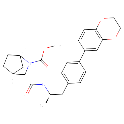 CC(C)(C)OC(=O)N1[C@@H]2CC[C@@H](C2)[C@H]1C(=O)N[C@H](C#N)Cc1ccc(-c2ccc3c(c2)OCCO3)cc1